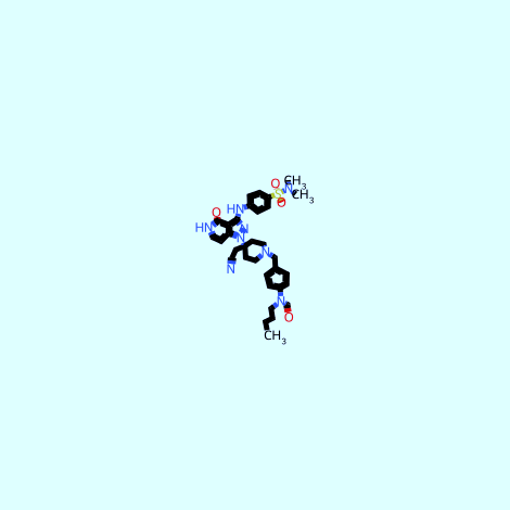 CCCCN(C=O)c1ccc(CN2CCC(CC#N)(n3nc(Nc4ccc(S(=O)(=O)N(C)C)cc4)c4c(=O)[nH]ccc43)CC2)cc1